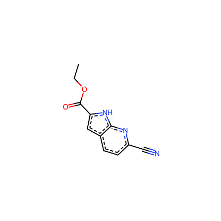 CCOC(=O)c1cc2ccc(C#N)nc2[nH]1